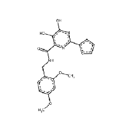 COc1ccc(CNC(=O)c2nc(-c3cccs3)nc(O)c2O)c(OC)c1